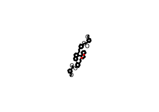 COc1cccc(C(=O)Oc2ccc(/C=C/c3ccc4ccccc4c3-c3c(/C=C/c4ccc(OC(=O)c5cccc(OC)c5)cc4)ccc4ccccc34)cc2)c1